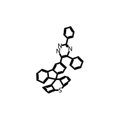 c1ccc(-c2nnc(-c3ccc4c(c3)-c3ccccc3C43c4ccccc4Sc4ccccc43)c(-c3ccccc3)n2)cc1